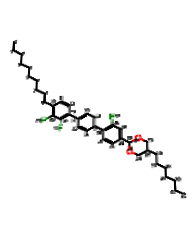 CCCCCCCCCCc1ccc(-c2ccc(-c3ccc(C4OCC(CCCCCCC)CO4)cc3F)cc2)c(F)c1F